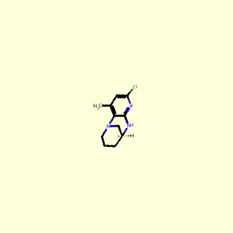 Cc1cc(Cl)nc2c1N1CCC[C@@H](C1)N2